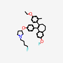 CCOc1ccc(C2=C(c3ccc(O[C@H]4CCN(CCCCF)C4)cc3)c3ccc(OF)cc3CCC2)c(C)c1